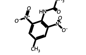 CC(=O)Nc1c([N+](=O)[O-])cc(C)cc1[N+](=O)[O-]